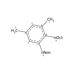 CCCCCCCCCc1cc(C)cc(C)c1CCCCCCCC